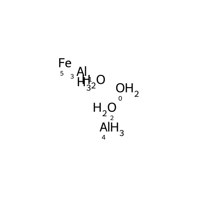 O.O.O.[AlH3].[AlH3].[Fe]